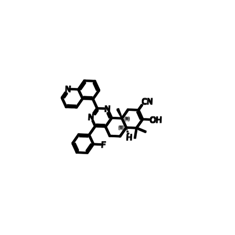 CC1(C)C(O)=C(C#N)C[C@@]2(C)c3nc(-c4cccc5ncccc45)nc(-c4ccccc4F)c3CC[C@H]12